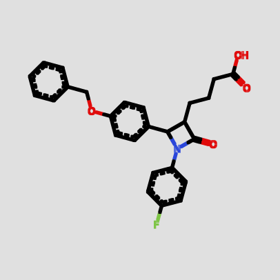 O=C(O)CCCC1C(=O)N(c2ccc(F)cc2)C1c1ccc(OCc2ccccc2)cc1